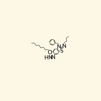 CCCCCCCCOc1cc2c(cc1N=N)s/c(=N/CCCC)n2Cc1ccccc1